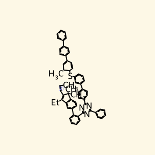 C/C=C\C1=C(CC)c2cc(-c3ccccc3-c3nc(-c4ccccc4)nc(-c4ccc(-c5cccc(SC6C=CC(c7ccc(-c8ccccc8)cc7)=CC6C)c5)cc4)n3)ccc2C1(C)C